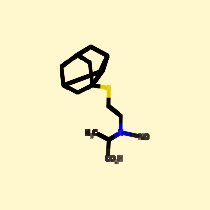 CC(C(=O)O)N(CCSC12CC3CC(CC(C3)C1)C2)N=O